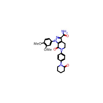 COc1ccc(-n2nc(C(N)=O)c3c2C(=O)N(c2ccc(N4CCCCC4=O)cc2)CC3)cc1OC